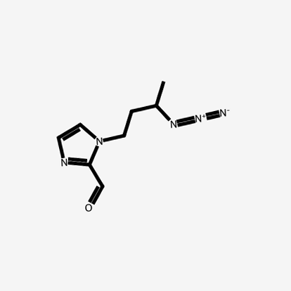 CC(CCn1ccnc1C=O)N=[N+]=[N-]